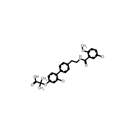 COc1ccc(Cl)cc1C(=O)NCCc1ccc(-c2ccc(OC(C)(C)C(=O)O)cc2Cl)cc1